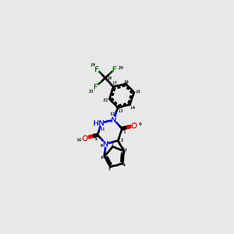 O=C1C2C3=CC=C(C3)N2C(=O)NN1c1cccc(C(F)(F)F)c1